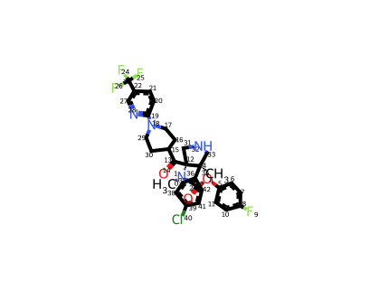 CN(C(=O)Oc1ccc(F)cc1)[C@]1(C(=O)C2CCN(c3ccc(C(F)(F)F)cn3)CC2)CNC[C@@]1(C)c1ccc(Cl)cc1